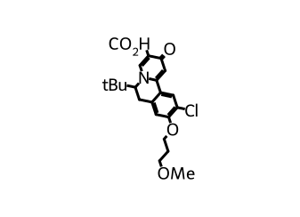 COCCCOc1cc2c(cc1Cl)-c1cc(=O)c(C(=O)O)cn1C(C(C)(C)C)C2